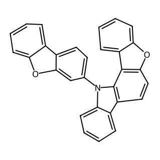 c1ccc2c(c1)oc1cc(-n3c4ccccc4c4ccc5oc6ccccc6c5c43)ccc12